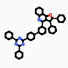 c1ccc(-c2nc(-c3ccccc3)nc(-c3ccc(-c4cccc(-c5nc6ccccc6c6oc(-c7ccccc7)c(-c7ccccc7)c56)c4)cc3)n2)cc1